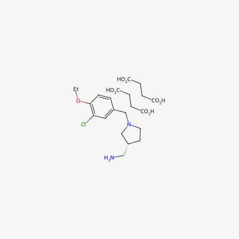 CCOc1ccc(CN2CC[C@H](CN)C2)cc1Cl.O=C(O)CCC(=O)O.O=C(O)CCC(=O)O